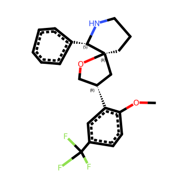 COc1ccc(C(F)(F)F)cc1[C@@H]1CO[C@]2(CCCN[C@H]2c2ccccc2)C1